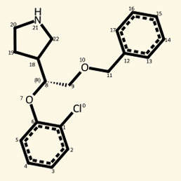 Clc1ccccc1O[C@@H](COCc1ccccc1)C1CCNC1